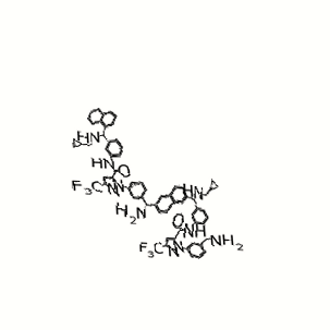 NCc1cccc(-n2nc(C(F)(F)F)cc2C(=O)Nc2cccc(C(NCC3CC3)c3ccc4cc(C(N)c5cccc(-n6nc(C(F)(F)F)cc6C(=O)Nc6cccc(C(NCC7CC7)c7cccc8ccccc78)c6)c5)ccc4c3)c2)c1